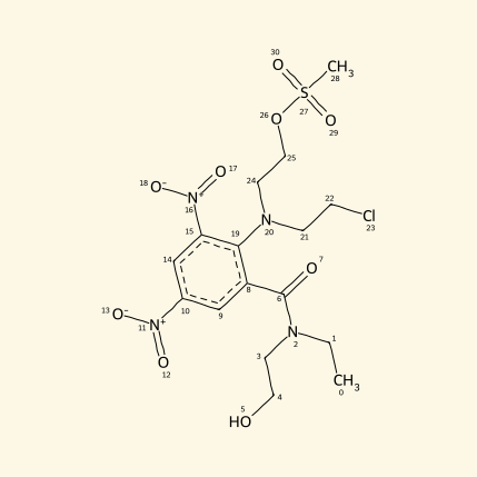 CCN(CCO)C(=O)c1cc([N+](=O)[O-])cc([N+](=O)[O-])c1N(CCCl)CCOS(C)(=O)=O